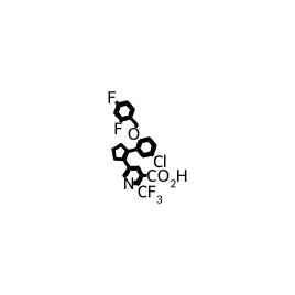 O=C(O)c1cc(C2=C(c3cc(Cl)ccc3OCc3ccc(F)cc3F)CCC2)cnc1C(F)(F)F